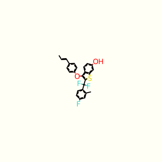 C/C=C/c1ccc(Oc2c(C(F)(F)c3ccc(F)cc3C)sc3cc(O)ccc23)cc1